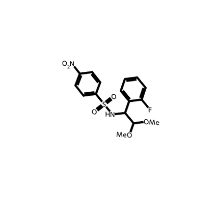 COC(OC)C(NS(=O)(=O)c1ccc([N+](=O)[O-])cc1)c1ccccc1F